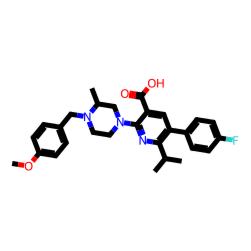 COc1ccc(CN2CCN(c3nc(C(C)C)c(-c4ccc(F)cc4)cc3C(=O)O)CC2C)cc1